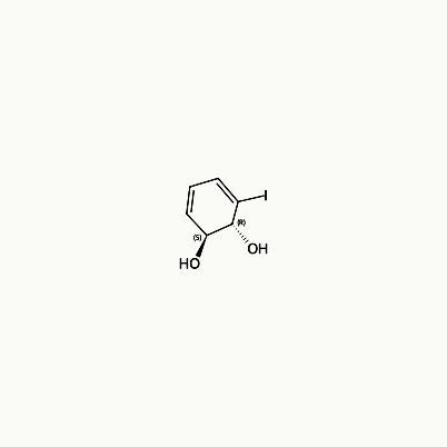 O[C@H]1C=CC=C(I)[C@@H]1O